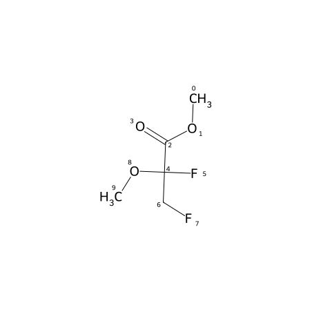 COC(=O)C(F)(CF)OC